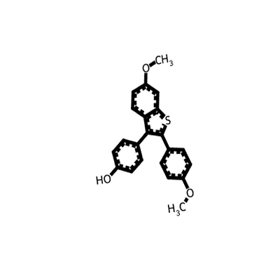 COc1ccc(-c2sc3cc(OC)ccc3c2-c2ccc(O)cc2)cc1